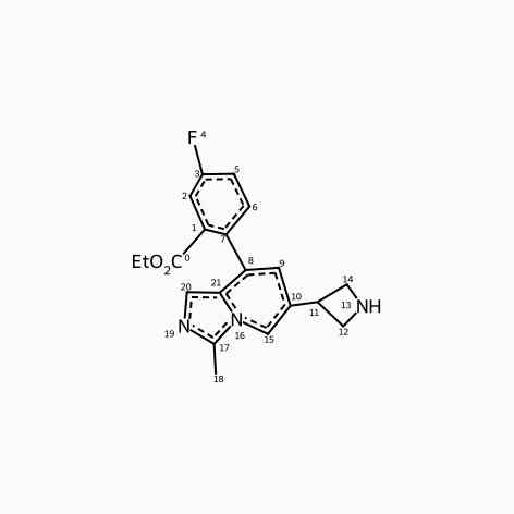 CCOC(=O)c1cc(F)ccc1-c1cc(C2CNC2)cn2c(C)ncc12